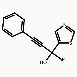 CC(C)C(O)(C#Cc1ccccc1)c1cncs1